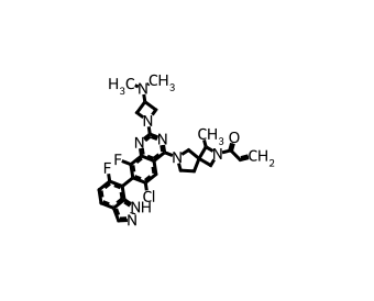 C=CC(=O)N1CC2(CCN(c3nc(N4CC(N(C)C)C4)nc4c(F)c(-c5c(F)ccc6cn[nH]c56)c(Cl)cc34)C2)C1C